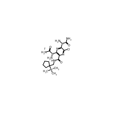 C[N+](C)(C)C1(CNC(=O)c2nc(Cl)c(N(N)C(N)=O)nc2N(N)C(N)=O)CCCC1.[I-]